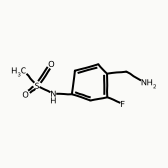 CS(=O)(=O)Nc1ccc(CN)c(F)c1